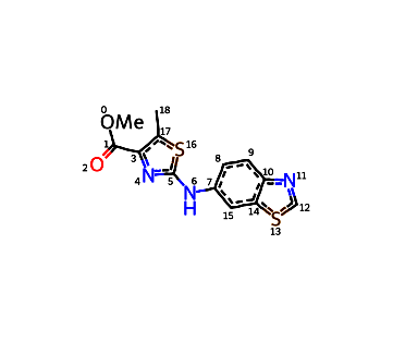 COC(=O)c1nc(Nc2ccc3ncsc3c2)sc1C